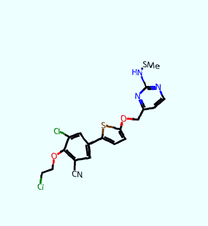 CSNc1nccc(COc2ccc(-c3cc(Cl)c(OCCCl)c(C#N)c3)s2)n1